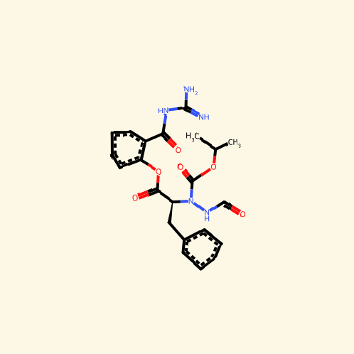 CC(C)OC(=O)N(NC=O)[C@@H](Cc1ccccc1)C(=O)Oc1ccccc1C(=O)NC(=N)N